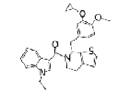 CCn1cc(C(=O)N2CCc3ccsc3C2Cc2ccc(OC)c(OC3CC3)c2)c2ccccc21